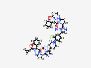 CC(=O)N[C@@H](C(=O)N1CCC[C@H]1c1ncc(-c2cc(F)c(N3CCC(c4cnc([C@@H]5CCCN5C(=O)[C@H](NC(=O)C5CC5)c5ccccc5)[nH]4)CC3)c(F)c2)[nH]1)c1ccccc1